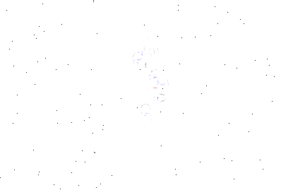 CC(C)n1ccnc1C=Cc1csc(NC(=O)c2cccn2Cc2ccnc(F)c2)n1